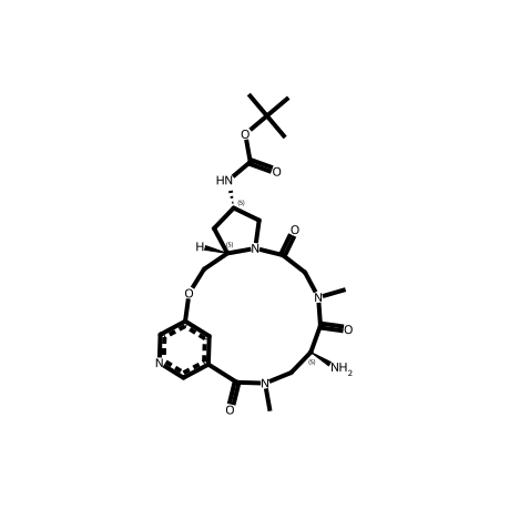 CN1C[C@H](N)C(=O)N(C)CC(=O)N2C[C@@H](NC(=O)OC(C)(C)C)C[C@H]2COc2cncc(c2)C1=O